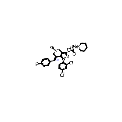 O=C(NN1CCCCC1)Oc1nn(-c2ccc(Cl)cc2Cl)c2c1C[S+]([O-])C/C2=C\c1ccc(F)cc1